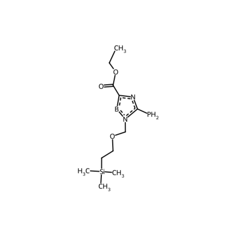 CCOC(=O)c1bn(COCC[Si](C)(C)C)c(P)n1